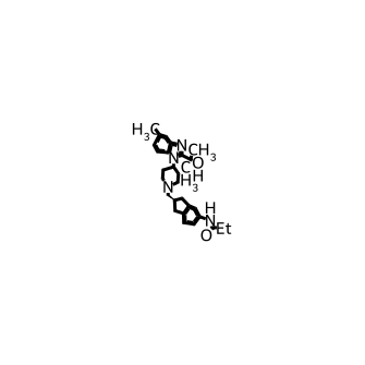 CCC(=O)Nc1ccc2c(c1)C[C@H](CN1CCC(n3c(C(C)(C)O)nc4cc(C)ccc43)CC1)C2